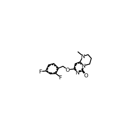 CN1CCCn2c1cc(OCc1ccc(F)cc1F)nc2=O